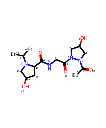 CCC(C)C(=O)N1CC(O)CN1C(=O)CNC(=O)C1CC(O)CN1C(CC)CC